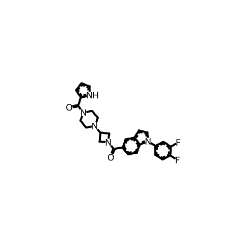 O=C(c1ccc2c(ccn2-c2ccc(F)c(F)c2)c1)N1CC(N2CCN(C(=O)c3ccc[nH]3)CC2)C1